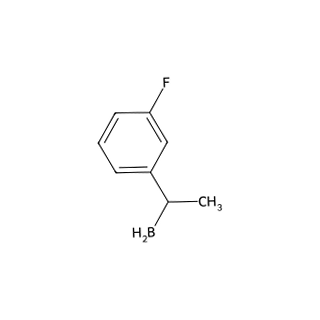 BC(C)c1cccc(F)c1